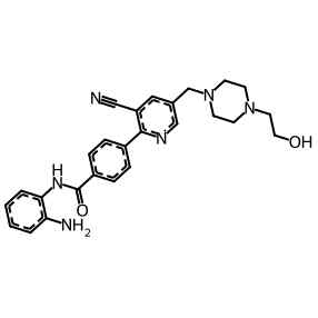 N#Cc1cc(CN2CCN(CCO)CC2)cnc1-c1ccc(C(=O)Nc2ccccc2N)cc1